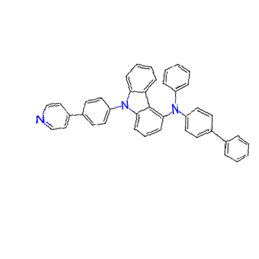 c1ccc(-c2ccc(N(c3ccccc3)c3cccc4c3c3ccccc3n4-c3ccc(-c4ccncc4)cc3)cc2)cc1